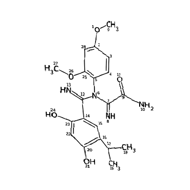 COc1ccc(N(C(=N)C(N)=O)C(=N)c2cc(C(C)C)c(O)cc2O)c(OC)c1